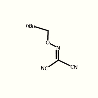 CCCCCON=C(C#N)C#N